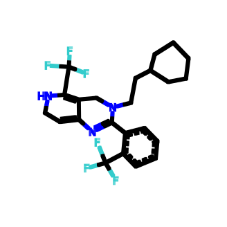 FC(F)(F)C1=C2CN(CCC3CCCCC3)C(c3ccccc3C(F)(F)F)=NC2=CCN1